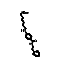 CCCCCCCCCCCCCCCCNc1ccc(C(=O)NCCc2ccccc2)cc1